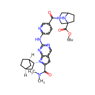 CN(C)C(=O)c1cc2cnc(Nc3ccc(C(=O)N4CC5CCC(C(=O)OC(C)(C)C)(C4)N5)cn3)nc2n1[C@@H]1C[C@H]2CC[C@@H]1C2